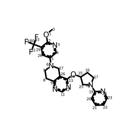 COc1ncc(N2CCc3ncnc(OC4CCN(c5ccccn5)C4)c3C2)cc1C(F)(F)F